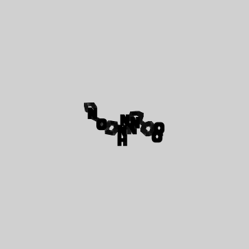 c1cc(-c2ccc3c(c2)OCO3)n2nc(Nc3ccc(OCCN4CCCC4)cc3)nc2c1